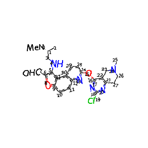 CN[C@H](C)CNc1c(C=O)oc2ccc3nc(Oc4nc(Cl)nc5c4CN(C)CC5)ccc3c12